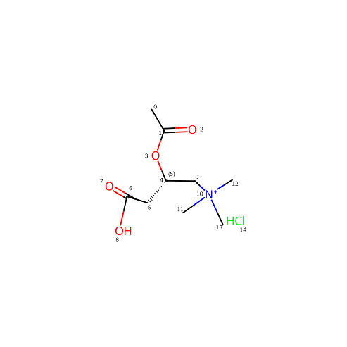 CC(=O)O[C@@H](CC(=O)O)C[N+](C)(C)C.Cl